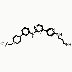 NCCCNc1ccc(-c2ccnc(Nc3cccc(N4CCN(CC(=O)O)CC4)c3)n2)cn1